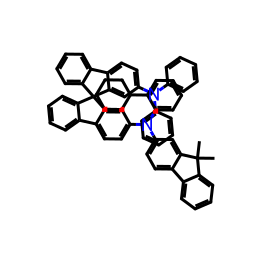 CC1(C)c2ccccc2-c2ccc(N(c3ccc4c(c3)C3(c5ccccc5-c5ccc(N(c6ccccc6)c6ccccc6)cc53)c3ccccc3-4)c3ccccc3C3CCCCC3)cc21